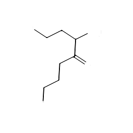 O=C(O)C(CCCl)C(=O)CCCCl